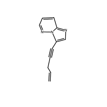 C=CCC#Cc1cnc2cccnn12